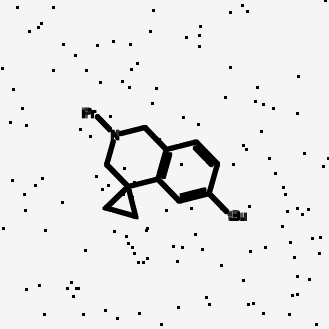 CC(C)N1Cc2ccc(C(C)(C)C)cc2C2(CC2)C1